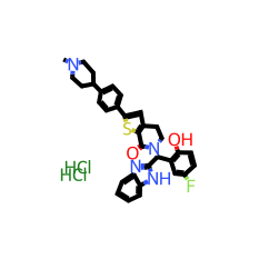 CN1CCC(c2ccc(-c3cc4c(s3)C(=O)N(C(c3nc5ccccc5[nH]3)c3cc(F)ccc3O)CC4)cc2)CC1.Cl.Cl